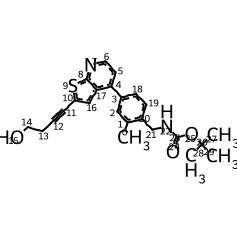 Cc1cc(-c2ccnc3sc(C#CCCO)cc23)ccc1CNC(=O)OC(C)(C)C